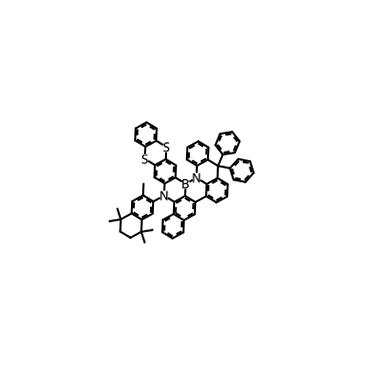 Cc1cc2c(cc1N1c3cc4c(cc3B3c5c(cc6ccccc6c51)-c1cccc5c1N3c1ccccc1C5(c1ccccc1)c1ccccc1)Sc1ccccc1S4)C(C)(C)CCC2(C)C